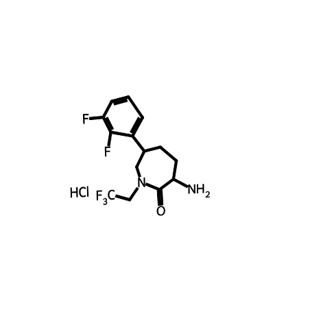 Cl.NC1CCC(c2cccc(F)c2F)CN(CC(F)(F)F)C1=O